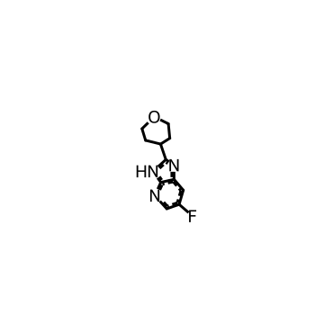 Fc1cnc2[nH]c(C3CCOCC3)nc2c1